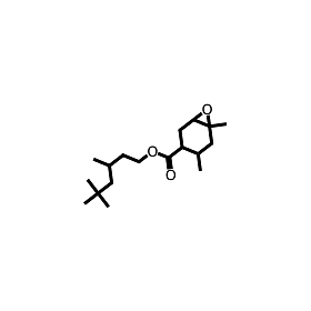 CC(CCOC(=O)C1CC2OC2(C)CC1C)CC(C)(C)C